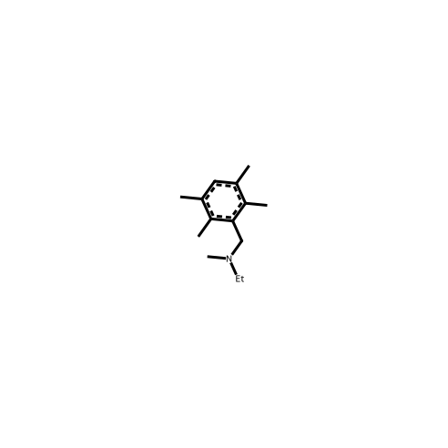 CCN(C)Cc1c(C)c(C)cc(C)c1C